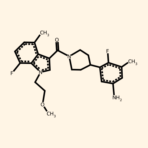 COCCn1cc(C(=O)N2CCC(c3cc(N)cc(C)c3F)CC2)c2c(C)ccc(F)c21